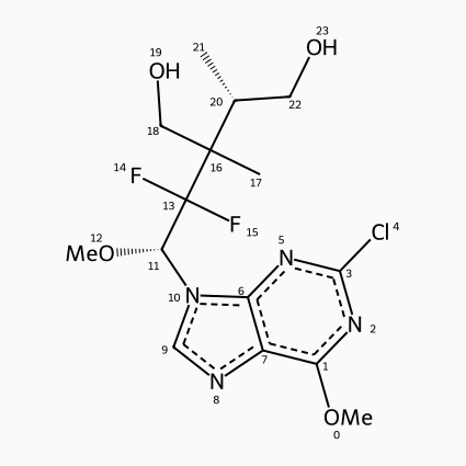 COc1nc(Cl)nc2c1ncn2[C@H](OC)C(F)(F)C(C)(CO)[C@H](C)CO